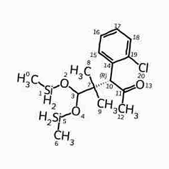 C[SiH2]OC(O[SiH2]C)C(C)(C)[C@@H](C(C)=O)c1ccccc1Cl